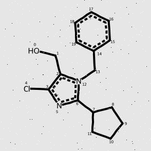 OCc1c(Cl)nc(C2CCCC2)n1Cc1ccccc1